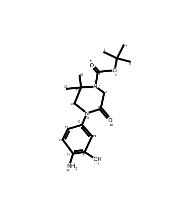 CC(C)(C)OC(=O)N1CC(=O)N(c2ccc(N)c(O)c2)CC1(C)C